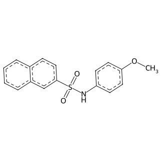 COc1ccc(NS(=O)(=O)c2ccc3ccccc3c2)cc1